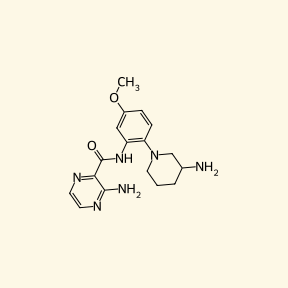 COc1ccc(N2CCCC(N)C2)c(NC(=O)c2nccnc2N)c1